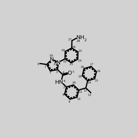 Cc1cc(C(=O)Nc2cccc(C(C)c3ccccc3)c2)n(-c2cccc(CN)c2)n1